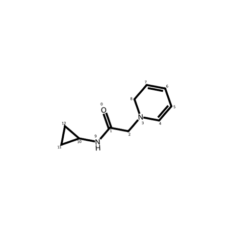 O=C(CN1C=CC=CC1)NC1CC1